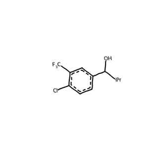 CC(C)C(O)c1ccc(Cl)c(C(F)(F)F)c1